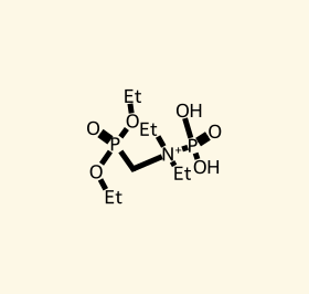 CCOP(=O)(C[N+](CC)(CC)P(=O)(O)O)OCC